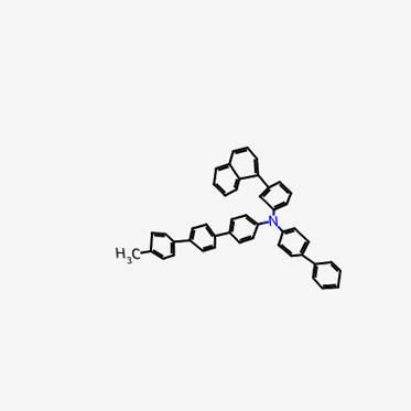 Cc1ccc(-c2ccc(-c3ccc(N(c4ccc(-c5ccccc5)cc4)c4cccc(-c5cccc6ccccc56)c4)cc3)cc2)cc1